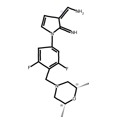 C[C@@H]1CN(Cc2c(F)cc(N3C=C/C(=C/N)C3=N)cc2F)C[C@H](C)O1